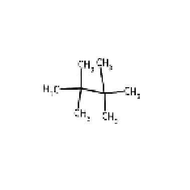 CC(C)(C)C(C)(C)C